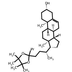 CC(C)C1(CC[C@@H](C)[C@H]2CC[C@H]3[C@@H]4CC=C5C[C@@H](O)CC[C@]5(C)[C@H]4CC[C@]23C)OC(C)(C)C(C)(C)O1